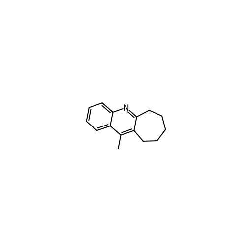 Cc1c2c(nc3ccccc13)CCCCC2